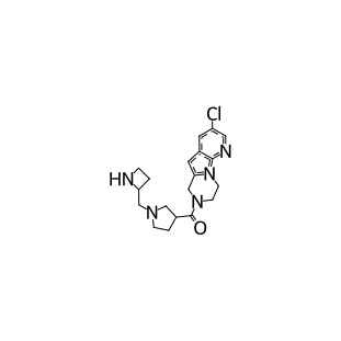 O=C(C1CCN(CC2CCN2)C1)N1CCn2c(cc3cc(Cl)cnc32)C1